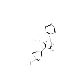 CCc1nn(-c2ccc(Cl)cc2)c(C)c1-c1ccc(Cl)cc1